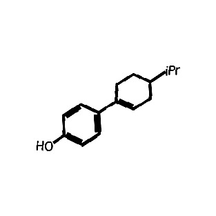 CC(C)C1CC=C(c2ccc(O)cc2)CC1